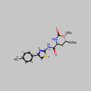 CSCCC(NC(=O)OC(C)(C)C)C(=O)Nc1nc(-c2ccc(C#N)cc2)cs1